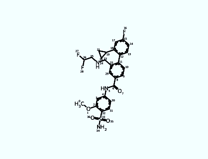 COc1cc(NC(=O)c2ccc(-c3ccc(F)cc3C3CC3)c(CNCC(F)F)c2)ccc1S(N)(=O)=O